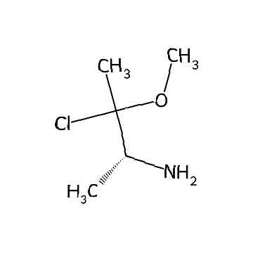 COC(C)(Cl)[C@@H](C)N